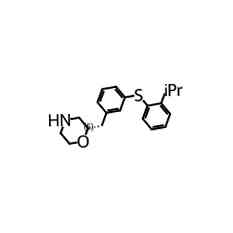 CC(C)c1ccccc1Sc1cccc(C[C@H]2CNCCO2)c1